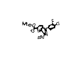 COC(=O)c1ccc2c(n1)c(C(C)(C)C)nn2-c1ccc(Cl)c(F)c1